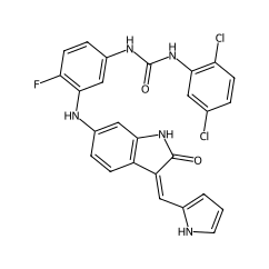 O=C(Nc1ccc(F)c(Nc2ccc3c(c2)NC(=O)C3=Cc2ccc[nH]2)c1)Nc1cc(Cl)ccc1Cl